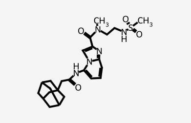 CN(CCNS(C)(=O)=O)C(=O)c1cn2c(NC(=O)CC34CC5CC(CC(C5)C3)C4)cccc2n1